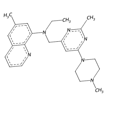 CCN(Cc1cc(N2CCN(C)CC2)nc(C)n1)c1cc(C)cc2cccnc12